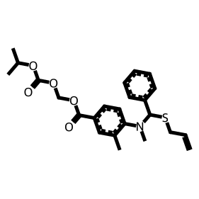 C=CCSC(c1ccccc1)N(C)c1ccc(C(=O)OCOC(=O)OC(C)C)cc1C